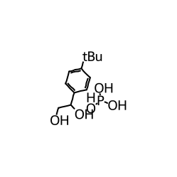 CC(C)(C)c1ccc(C(O)CO)cc1.OP(O)O